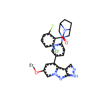 CCOc1cc(-c2ccc(N3CC4CCC(C3)N4C(=O)c3c(F)cccc3Cl)nc2)c2c3cn[nH]c3nn2c1